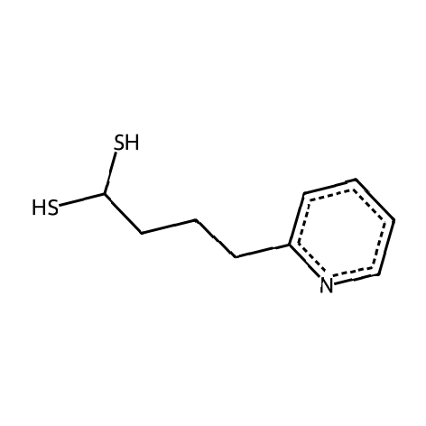 SC(S)CCCc1ccccn1